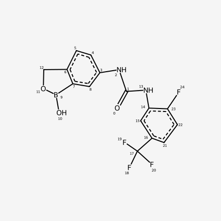 O=C(Nc1ccc2c(c1)B(O)OC2)Nc1cc(C(F)(F)F)ccc1F